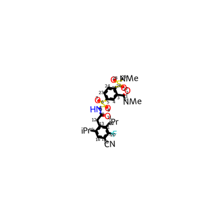 CNC(=O)c1cc(S(=O)(=O)NC(=O)Cc2c(C(C)C)cc(C#N)c(F)c2C(C)C)ccc1S(=O)(=O)NC